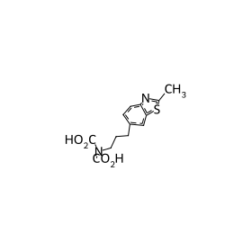 Cc1nc2ccc(CCCN(C(=O)O)C(=O)O)cc2s1